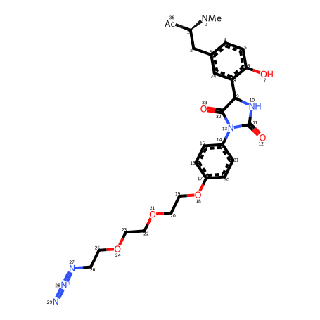 CN[C@@H](Cc1ccc(O)c(C2NC(=O)N(c3ccc(OCCOCCOCCN=[N+]=[N-])cc3)C2=O)c1)C(C)=O